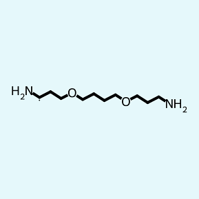 N[CH]CCOCCCCOCCCN